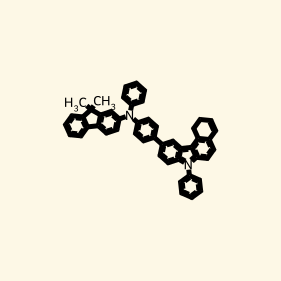 CC1(C)c2ccccc2-c2ccc(N(c3ccccc3)c3ccc(-c4ccc5c(c4)c4c6c(ccc4n5-c4ccccc4)C=CCC6)cc3)cc21